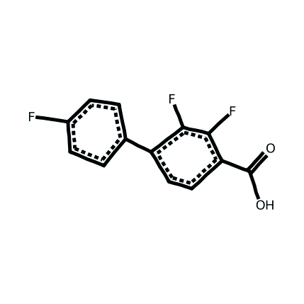 O=C(O)c1ccc(-c2ccc(F)cc2)c(F)c1F